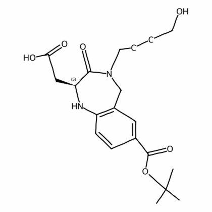 CC(C)(C)OC(=O)c1ccc2c(c1)CN(CCCCO)C(=O)[C@H](CC(=O)O)N2